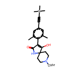 CON1CCC2(CC1)NC(=O)C(c1c(C)cc(C#C[Si](C)(C)C)cc1C)=C2O